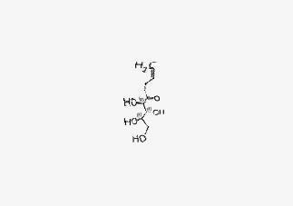 C=CCC(=O)[C@H](O)[C@H](O)[C@H](O)CO